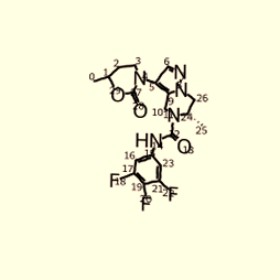 CC1CCN(c2cnn3c2CN(C(=O)Nc2cc(F)c(F)c(F)c2)[C@@H](C)C3)C(=O)O1